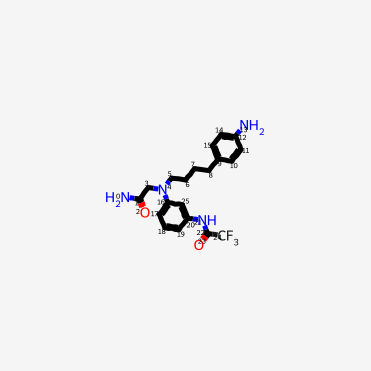 NC(=O)CN(CCCCc1ccc(N)cc1)c1cccc(NC(=O)C(F)(F)F)c1